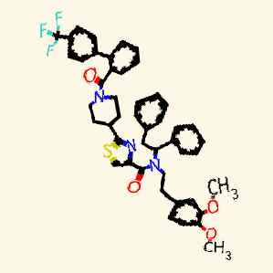 COc1ccc(CCN(C(=O)c2csc(C3CCN(C(=O)c4ccccc4-c4ccc(C(F)(F)F)cc4)CC3)n2)C(Cc2ccccc2)c2ccccc2)cc1OC